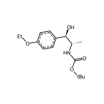 CCOc1ccc([C@@H](O)[C@H](C)NC(=O)OC(C)(C)C)cc1